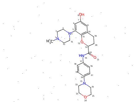 CN1CCN(c2cc(O)cc3c2OC(C(=O)Nc2ccc(N4CCOCC4)cc2)CC3)CC1